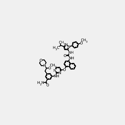 COc1ccc(-n2nc(C(C)C)cc2NC(=O)Nc2ccc(Oc3ccnc(Nc4cc(CC(OC)N5CCOCC5)cc(C(N)=O)c4)n3)c3ccccc23)cc1